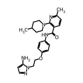 Cc1ccc(C(=O)Nc2ccc(OCCn3nccc3N)cc2)c(N2CCC(C)CC2)n1